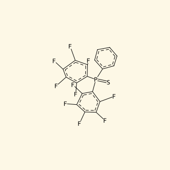 Fc1c(F)c(F)c(P(=S)(c2ccccc2)c2c(F)c(F)c(F)c(F)c2F)c(F)c1F